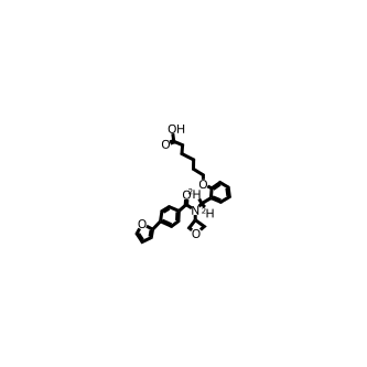 [2H]C([2H])(c1ccccc1OCCCCCC(=O)O)N(C(=O)c1ccc(-c2ccco2)cc1)C1COC1